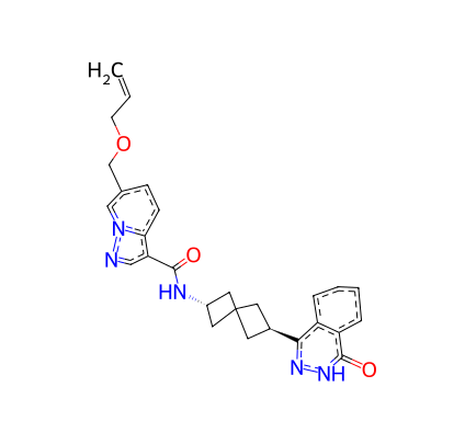 C=CCOCc1ccc2c(C(=O)N[C@H]3CC4(C3)C[C@H](c3n[nH]c(=O)c5ccccc53)C4)cnn2c1